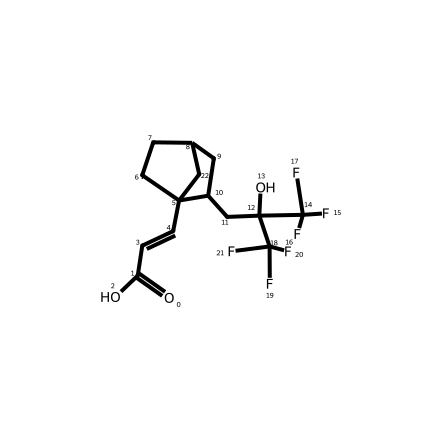 O=C(O)C=CC12[CH]CC(CC1CC(O)(C(F)(F)F)C(F)(F)F)C2